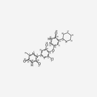 Cc1nn(-c2cc(Cl)c(Oc3cc(C4CCCCC4)c(=O)[nH]n3)c(Cl)c2)c(=O)[nH]c1=O